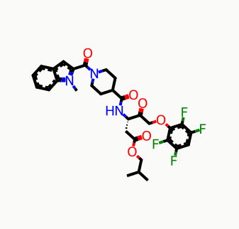 CC(C)COC(=O)C[C@H](NC(=O)C1CCN(C(=O)c2cc3ccccc3n2C)CC1)C(=O)COc1c(F)c(F)cc(F)c1F